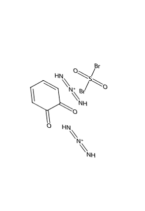 N=[N+]=N.N=[N+]=N.O=C1C=CC=CC1=O.O=S(=O)(Br)Br